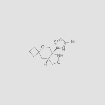 Brc1csc([C@]23COC4(CCC4)C[C@H]2CON3)n1